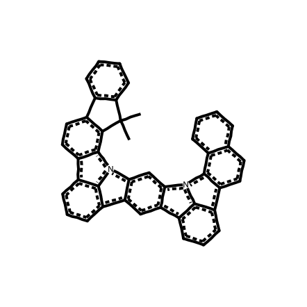 CC1(C)c2ccccc2-c2ccc3c4cccc5c6cc7c8cccc9c%10ccc%11ccccc%11c%10n(c7cc6n(c3c21)c54)c89